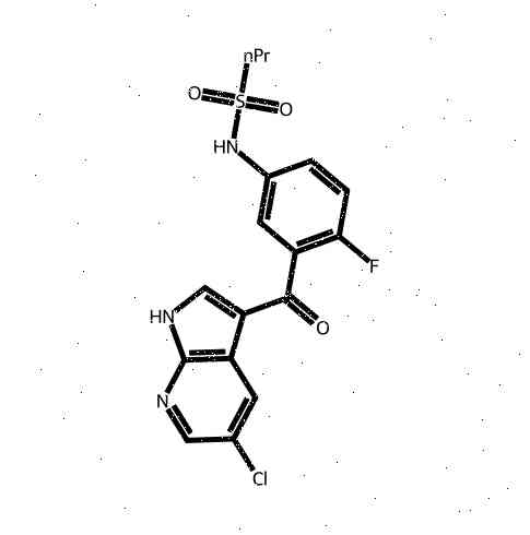 CCCS(=O)(=O)Nc1ccc(F)c(C(=O)c2c[nH]c3ncc(Cl)cc23)c1